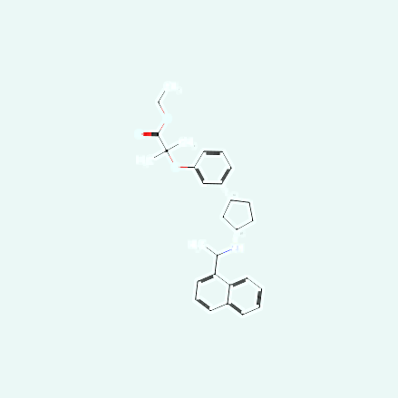 CCOC(=O)C(C)(C)Oc1cccc([C@@H]2CC[C@H](NC(C)c3cccc4ccccc34)C2)c1